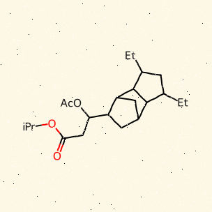 CCC1CC(CC)C2C3CC(CC3C(CC(=O)OC(C)C)OC(C)=O)C12